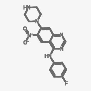 O=[N+]([O-])c1cc2c(Nc3ccc(F)cc3)ncnc2cc1N1CCNCC1